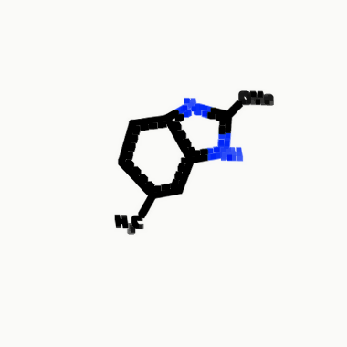 COc1nc2ccc(C)cc2[nH]1